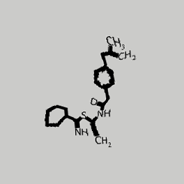 C=C=C(NC(=O)Cc1ccc(CC(=C)C)cc1)SC(=N)C1CCCCC1